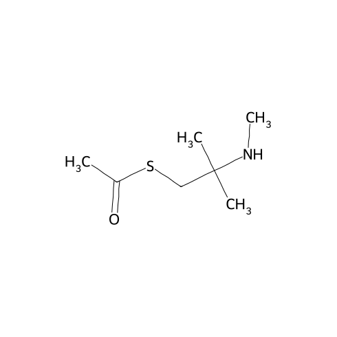 CNC(C)(C)CSC(C)=O